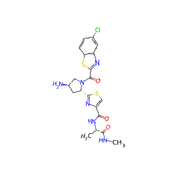 CNC(=O)C(C)NC(=O)c1csc([C@@H]2C[C@@H](N)CN2C(=O)C2=NC3C=C(Cl)C=CC3S2)n1